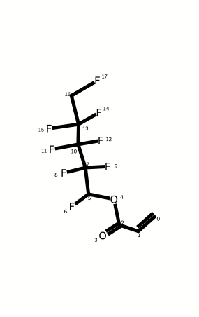 C=CC(=O)OC(F)C(F)(F)C(F)(F)C(F)(F)CF